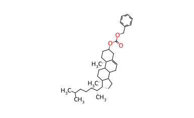 CC(C)CCC[C@@H](C)[C@H]1CCC2C3CC=C4CC(OC(=O)OCc5ccccc5)CC[C@]4(C)C3CC[C@@]21C